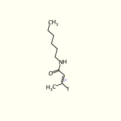 CCCCCCNC(=O)/C=C(\C)I